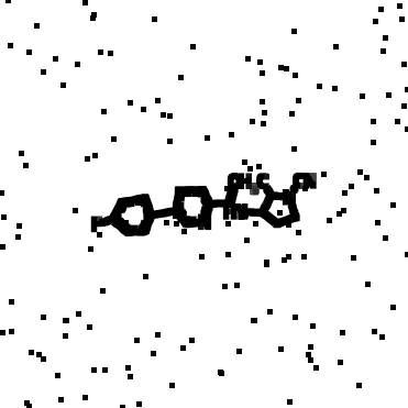 CC1C(NC(=O)c2ccc(-c3ccc(F)cc3)cn2)CCN1C#N